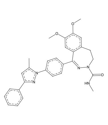 CNC(=O)N1CCc2cc(OC)c(OC)cc2C(c2ccc(-n3nc(-c4ccccc4)cc3C)cc2)=N1